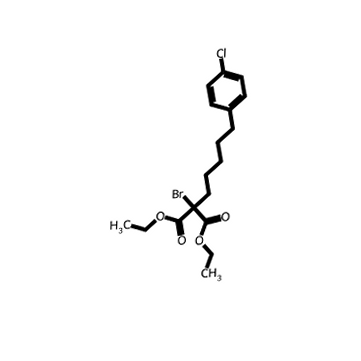 CCOC(=O)C(Br)(CCCCCc1ccc(Cl)cc1)C(=O)OCC